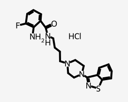 Cl.Nc1c(F)cccc1C(=O)NCCCCN1CCN(c2nsc3ccccc23)CC1